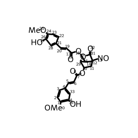 COc1ccc(/C=C/C(=O)OC2CC3(N=O)CC(OC(=O)/C=C/c4ccc(OC)c(O)c4)C2OC3=O)cc1O